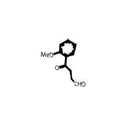 COc1ccccc1C(=O)CCC=O